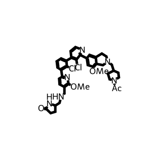 COc1cc(-c2nccc(-c3cccc(-c4ccc(CNCC5CCC(=O)N5)c(OC)n4)c3Cl)c2Cl)cc2c1CN(CC1CCN(C(C)=O)CC1)CC2